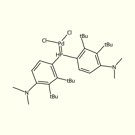 CN(C)c1ccc([PH](c2ccc(N(C)C)c(C(C)(C)C)c2C(C)(C)C)=[Pd]([Cl])[Cl])c(C(C)(C)C)c1C(C)(C)C